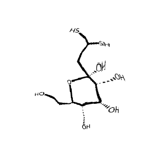 OC[C@H]1O[C@@](O)(CC(S)S)[C@H](O)[C@H](O)[C@@H]1O